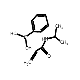 C=CC(=O)NC(C)C.OB(O)c1ccccc1